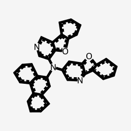 c1ccc2c(c1)cc(N(c1cnc3c(c1)oc1ccccc13)c1cncc3c1oc1ccccc13)c1ccccc12